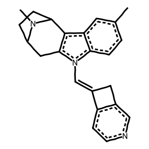 Cc1ccc2c(c1)c1c(n2/C=C2\Cc3cnccc32)CC2CCC1N2C